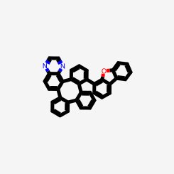 c1ccc2c(c1)-c1ccccc1-c1c(cccc1-c1cccc3c1oc1ccccc13)-c1c-2ccc2nccnc12